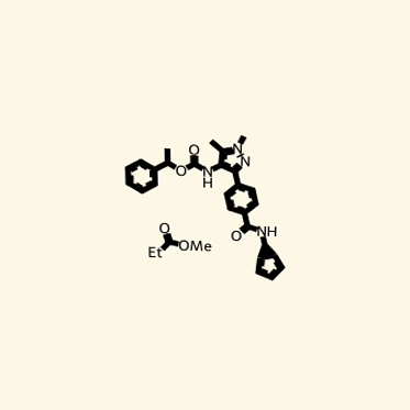 CCC(=O)OC.Cc1c(NC(=O)OC(C)c2ccccc2)c(-c2ccc(C(=O)Nc3c4cccc3-4)cc2)nn1C